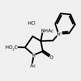 CC(=O)NC1(C[n+]2ccccc2)CC(C(=O)O)N(C(C)=O)C1=O.Cl